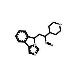 O=NC(CC1c2ccccc2-c2cncn21)C1CCNCC1